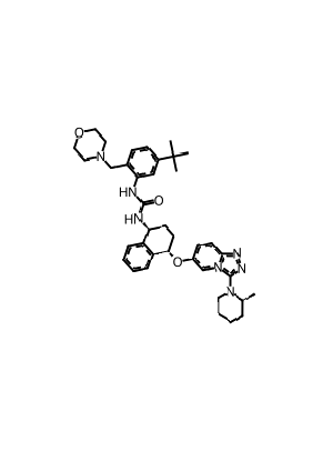 C[C@H]1CCCCN1c1nnc2ccc(O[C@@H]3CC[C@H](NC(=O)Nc4cc(C(C)(C)C)ccc4CN4CCOCC4)c4ccccc43)cn12